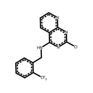 FC(F)(F)c1ccccc1CNc1nc(Cl)nc2ncccc12